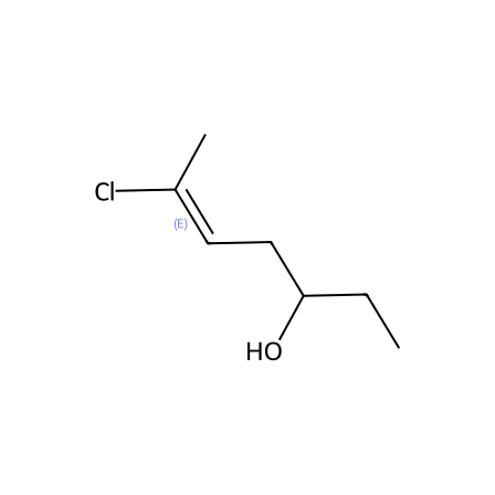 CCC(O)C/C=C(\C)Cl